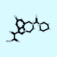 COC(=O)C(=O)c1cn2c3c(cc(F)cc13)CN(C(=O)N1CCCCC1)CC2